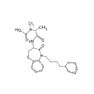 CC(C(=O)NC1CSc2ccccc2N(CCCCc2ccccc2)C1=O)N(C)C(=O)O